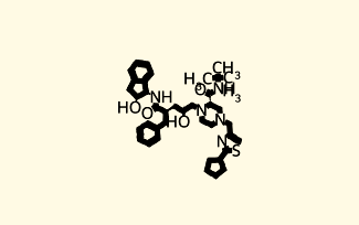 CC(C)(C)NC(=O)[C@@H]1CN(Cc2csc(C3CCCC3)n2)CCN1C[C@@H](O)C[C@@H](Cc1ccccc1)C(=O)N[C@H]1c2ccccc2C[C@H]1O